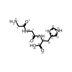 NCC(=O)NCC(=O)NC(Cc1c[nH]cn1)C(=O)O